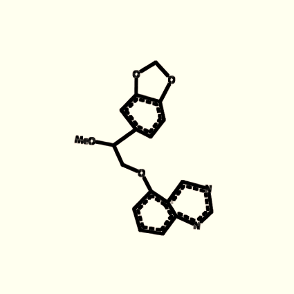 COC(COc1cccc2ncncc12)c1ccc2c(c1)OCO2